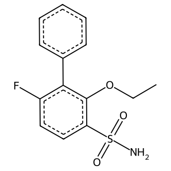 CCOc1c(S(N)(=O)=O)ccc(F)c1-c1ccccc1